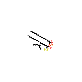 CCCCCCCCC=CCCCCCCCCC(CS)C(=O)[O-].CCCCCCCCC=CCCCCCCCCC(CS)C(=O)[O-].CCC[CH2][Sn+2][CH2]CCC